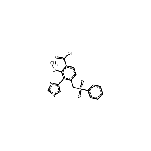 COc1c(C(=O)O)ccc(CS(=O)(=O)c2ccccc2)c1-c1cncs1